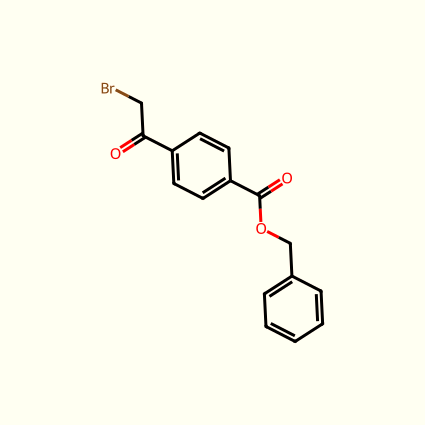 O=C(CBr)c1ccc(C(=O)OCc2ccccc2)cc1